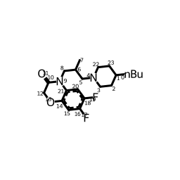 CCCCC1CCN(CC(C)CN2C(=O)COc3cc(F)c(F)cc32)CC1